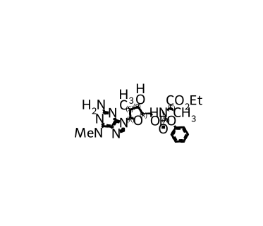 CCOC(=O)[C@H](C)N[P@@](=O)(OC[C@H]1O[C@@H](n2cnc3c(NC)nc(N)nc32)[C@@H](C)[C@@H]1O)Oc1ccccc1